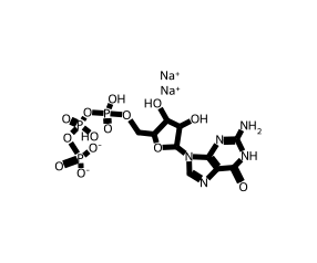 Nc1nc2c(ncn2C2OC(COP(=O)(O)OP(=O)(O)OP(=O)([O-])[O-])C(O)C2O)c(=O)[nH]1.[Na+].[Na+]